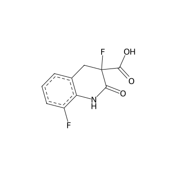 O=C(O)C1(F)Cc2cccc(F)c2NC1=O